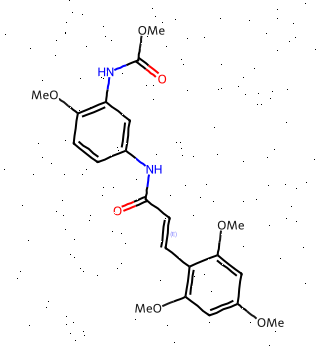 COC(=O)Nc1cc(NC(=O)/C=C/c2c(OC)cc(OC)cc2OC)ccc1OC